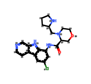 O=C(Nc1cc(Cl)cc2c1[nH]c1cnccc12)[C@@H]1COCCN1C[C@H]1CCCN1